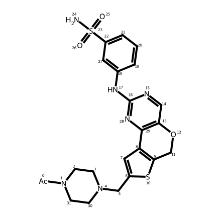 CC(=O)N1CCN(Cc2cc3c(s2)COc2cnc(Nc4cccc(S(N)(=O)=O)c4)nc2-3)CC1